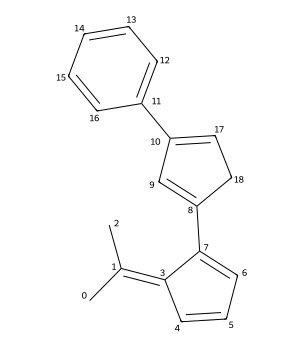 CC(C)=C1C=CC=C1C1=CC(c2ccccc2)=CC1